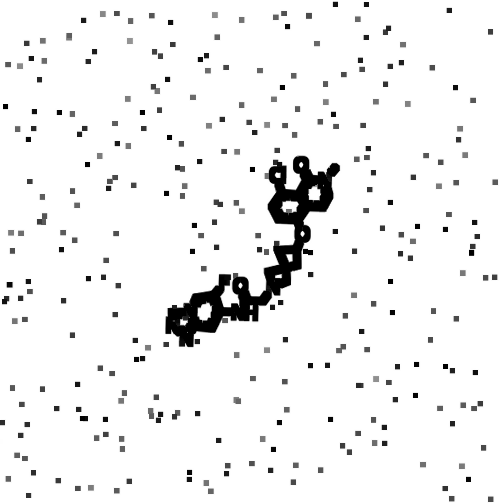 Cn1ccc2c(OC3CC4(C3)CN(CC(=O)Nc3cc5nncn5cc3F)C4)ccc(Cl)c2c1=O